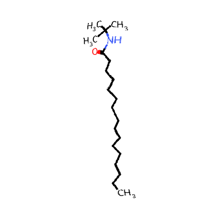 CCCCCCCCCCCCCCCC(=O)NC(C)(C)C